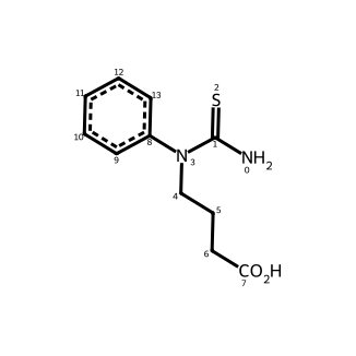 NC(=S)N(CCCC(=O)O)c1ccccc1